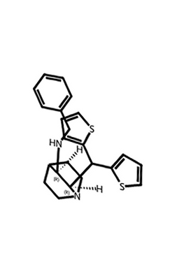 c1ccc(CN[C@@H]2C3CCN(CC3)[C@@H]2C(c2cccs2)c2cccs2)cc1